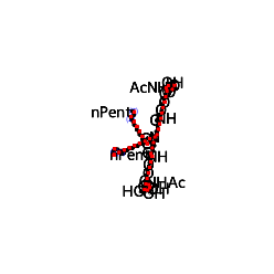 CCCCC/C=C\C/C=C\CCCCCCCCC1(CCCCCCCC/C=C\C/C=C\CCCCC)OC[C@H](CN(CCCCCC(=O)NCCOCCOCCO[C@@H]2OC(CO)[C@H](O)C(O)[C@@H]2NC(C)=O)CCCCCC(=O)NCCOCCOCCO[C@@H]2OC3CO[C@@H]3C(O)[C@@H]2NC(C)=O)O1